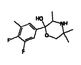 Cc1cc(C2(O)OCC(C)(C)NC2C)cc(F)c1F